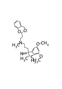 COc1cc(OC)cc(C(C#N)(CCCN(C)CCC2OCc3ccccc3O2)C(C)C)c1